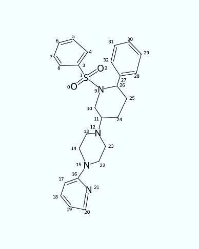 O=S(=O)(c1ccccc1)N1CC(N2CCN(c3ccccn3)CC2)CCC1c1ccccc1